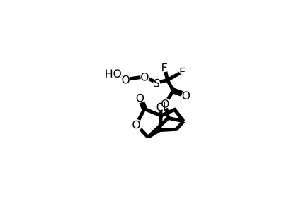 O=C(OC1C2CC3C1OC(=O)C3(Cl)C2)C(F)(F)SOOO